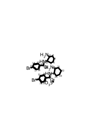 CS(=O)(=O)O.NC1CCCCC1NC(=O)c1ccc(Br)cc1.N[C@@H]1CCCC[C@H]1NC(=O)c1ccc(Br)cc1